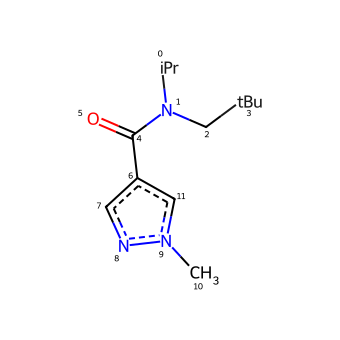 CC(C)N(CC(C)(C)C)C(=O)c1cnn(C)c1